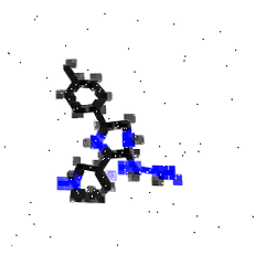 CN/C=C(\C=N)c1nc(-c2ccc(C)cc2)cnc1NN